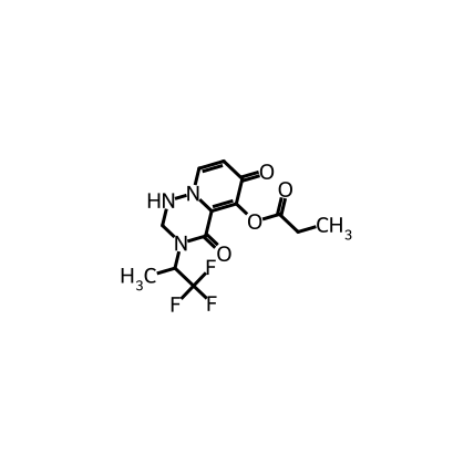 CCC(=O)Oc1c2n(ccc1=O)NCN(C(C)C(F)(F)F)C2=O